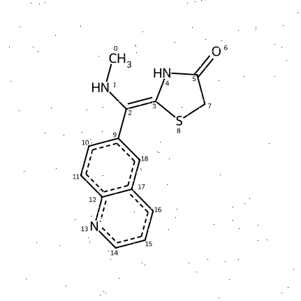 CNC(=C1NC(=O)CS1)c1ccc2ncccc2c1